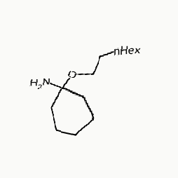 CCCCCCCCOC1(N)CCCCC1